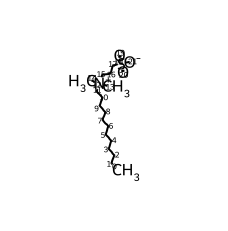 CCCCCCCCCCCC[N+](C)(C)CCCS(=O)(=O)[O-]